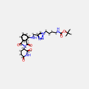 CC(C)(C)OC(=O)NCCCCn1cc(CNc2cccc3c2C(=O)N(C2CCC(=O)NC2=O)C3=O)nn1